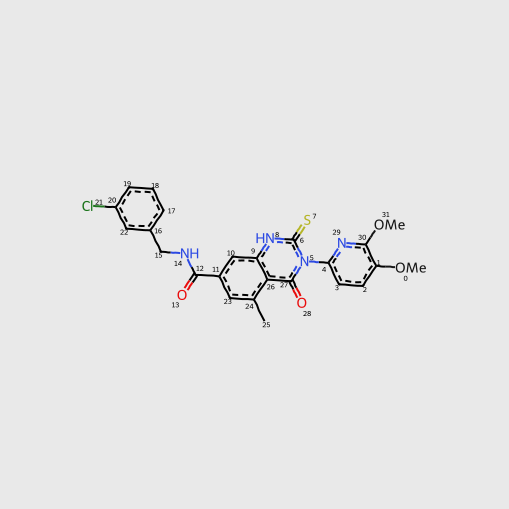 COc1ccc(-n2c(=S)[nH]c3cc(C(=O)NCc4cccc(Cl)c4)cc(C)c3c2=O)nc1OC